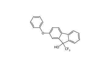 OC1(C(F)(F)F)c2ccccc2-c2ccc(Oc3ccccc3)cc21